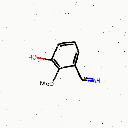 COc1c(O)cccc1C=N